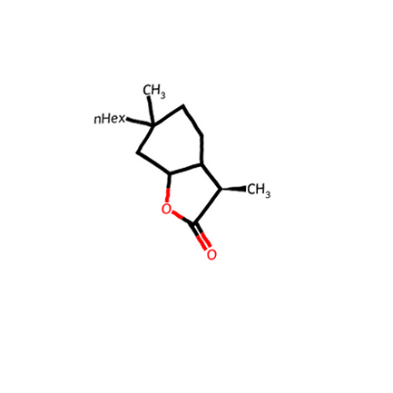 CCCCCCC1(C)CCC2C(C1)OC(=O)[C@@H]2C